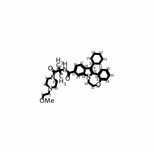 COCCN1CCN(C(=O)C(C)(C)NC(=O)c2ccc3c(C4CCCCC4)c4n(c3c2)CCOc2ccccc2-4)CC1